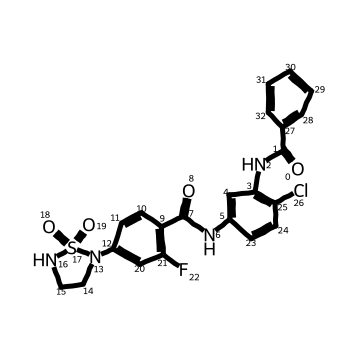 O=C(Nc1cc(NC(=O)c2ccc(N3CCNS3(=O)=O)cc2F)ccc1Cl)c1ccccc1